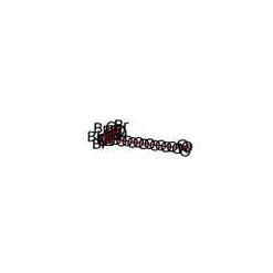 CCC(CNC(=O)C(C)(COC(=O)C(C)(C)Br)COC(=O)C(C)(C)Br)(CNC(=O)C(C)(COC(=O)C(C)(C)Br)COC(=O)C(C)(C)Br)COCCOCCOCCOCCOCCOCCOCCOCCOCCOCCOCCOCCN1C(=O)C2C3C=CC(O3)C2C1=O